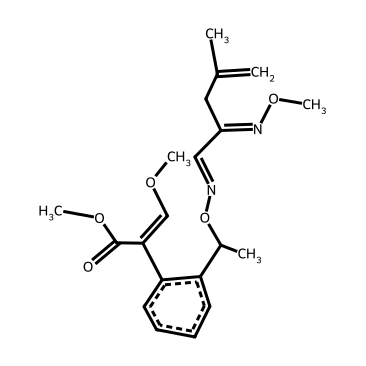 C=C(C)CC(C=NOC(C)c1ccccc1C(=COC)C(=O)OC)=NOC